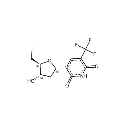 O=c1[nH]c(=O)n([C@@H]2C[C@H](O)[C@@H](CI)O2)cc1C(F)(F)F